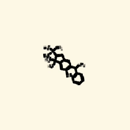 Cc1cc2c(cc1C(C)c1ccccc1)C=C([Si](C)(C)C)C2(C)C